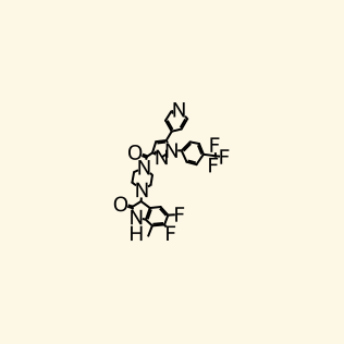 Cc1c(F)c(F)cc2c1NC(=O)C2N1CCN(C(=O)c2cc(-c3ccncc3)n(-c3ccc(C(F)(F)F)cc3)n2)CC1